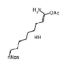 CCCCCCCCCCCCCCCCC=C(N)OC(C)=O.[KH]